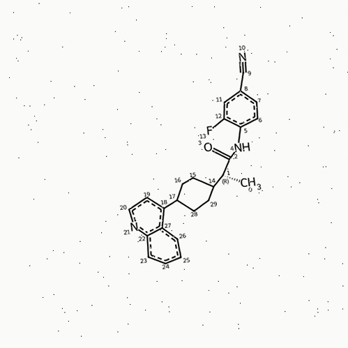 C[C@@H](C(=O)Nc1ccc(C#N)cc1F)C1CCC(c2ccnc3ccccc23)CC1